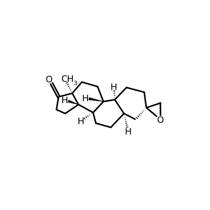 C[C@]12CC[C@H]3[C@@H](CC[C@@H]4C[C@]5(CC[C@@H]43)CO5)[C@@H]1CCC2=O